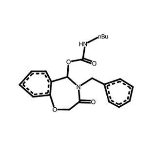 CCCCNC(=O)OC1c2ccccc2OCC(=O)N1Cc1ccccc1